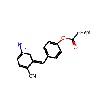 CCCCCCCC(=O)Oc1ccc(C=C2CC(N)=CC=C2C#N)cc1